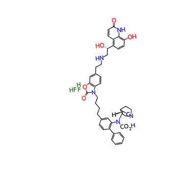 F.F.O=C(O)N(c1cc(CCCCn2c(=O)oc3cc(CCNC[C@H](O)c4ccc(O)c5[nH]c(=O)ccc45)ccc32)ccc1-c1ccccc1)[C@H]1CN2CCC1CC2